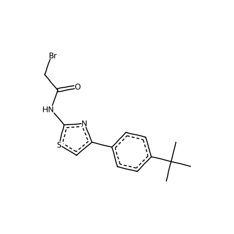 CC(C)(C)c1ccc(-c2csc(NC(=O)CBr)n2)cc1